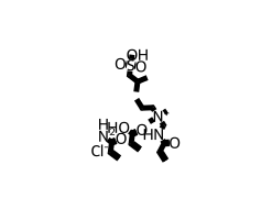 C=CC(=O)NC[N+](C)(C)CCC.C=CC(=O)O.C=CC(N)=O.CC(C)CS(=O)(=O)O.[Cl-]